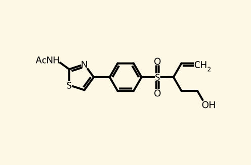 C=CC(CCO)S(=O)(=O)c1ccc(-c2csc(NC(C)=O)n2)cc1